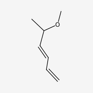 C=CC=CC(C)OC